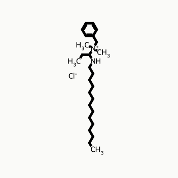 CCCCCCCCCCCCCCNC(CC)[N+](C)(C)Cc1ccccc1.[Cl-]